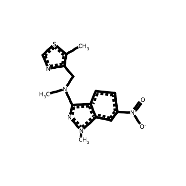 Cc1scnc1CN(C)c1nn(C)c2cc([N+](=O)[O-])ccc12